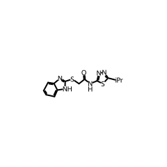 CC(C)c1nnc(NC(=O)CSc2nc3ccccc3[nH]2)s1